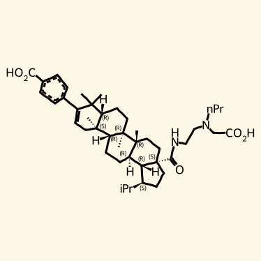 CCCN(CCNC(=O)[C@]12CC[C@@H](C(C)C)[C@@H]1[C@H]1CC[C@@H]3[C@@]4(C)CC=C(c5ccc(C(=O)O)cc5)C(C)(C)[C@@H]4CC[C@@]3(C)[C@]1(C)CC2)CC(=O)O